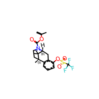 C=C(C)OC(=O)N1CC[C@@]2(C)c3cccc(OS(=O)(=O)C(F)(F)F)c3C[C@@H]1C2(C)C